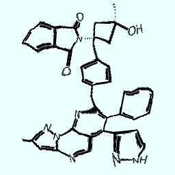 Cc1cc2ncc3c(-c4cc[nH]n4)c(-c4ccccc4)c(-c4ccc([C@]5(N6C(=O)c7ccccc7C6=O)C[C@](C)(O)C5)cc4)nc3n2n1